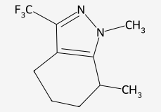 CC1CCCc2c(C(F)(F)F)nn(C)c21